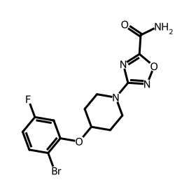 NC(=O)c1nc(N2CCC(Oc3cc(F)ccc3Br)CC2)no1